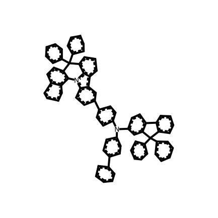 c1ccc(-c2ccc(N(c3ccc(-c4ccc5c(c4)c4cccc6c4n5-c4c(ccc5ccccc45)C6(c4ccccc4)c4ccccc4)cc3)c3ccc4c(c3)C(c3ccccc3)(c3ccccc3)c3ccccc3-4)cc2)cc1